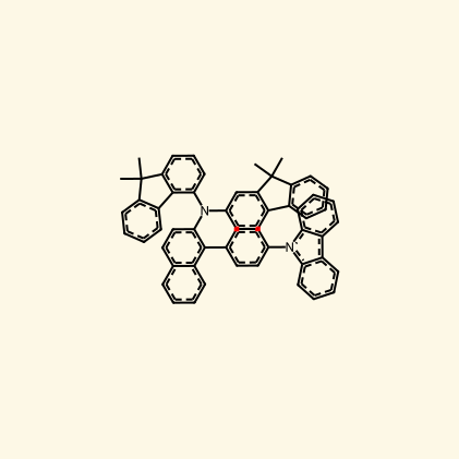 CC1(C)c2ccccc2-c2ccc(N(c3cccc4c3-c3ccccc3C4(C)C)c3ccc4ccccc4c3-c3ccc(-n4c5ccccc5c5ccccc54)cc3)cc21